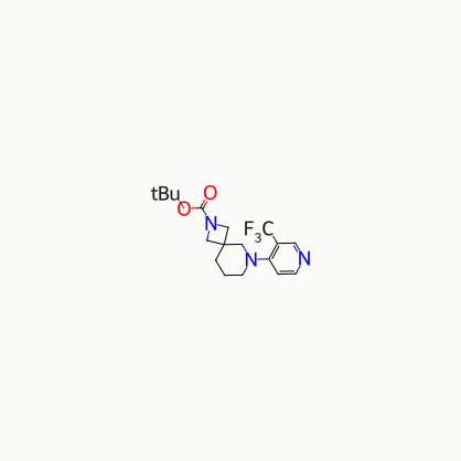 CC(C)(C)OC(=O)N1CC2(CCCN(c3ccncc3C(F)(F)F)C2)C1